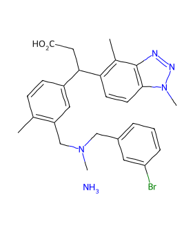 Cc1ccc(C(CC(=O)O)c2ccc3c(nnn3C)c2C)cc1CN(C)Cc1cccc(Br)c1.N